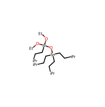 CC[O][Sn]([CH2]CC(C)C)([O]CC)[O][Sn]([CH2]CC(C)C)([CH2]CC(C)C)[CH2]CC(C)C